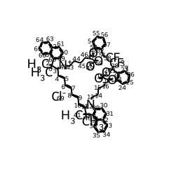 CC1(C)C(/C=C/C=C/C=C/C=C2\N(CCCCS(=O)(=O)OC(c3ccccc3)C(F)(F)F)c3ccc4ccccc4c3C2(C)C)=[N+](CCCCS(=O)(=O)OC(c2ccccc2)C(F)(F)F)c2ccc3ccccc3c21.[Cl-]